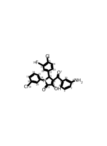 Nc1cccc(C(=O)C2=C(O)C(=O)N(c3cccc(Cl)c3)C2c2ccc(Cl)c(F)c2)c1